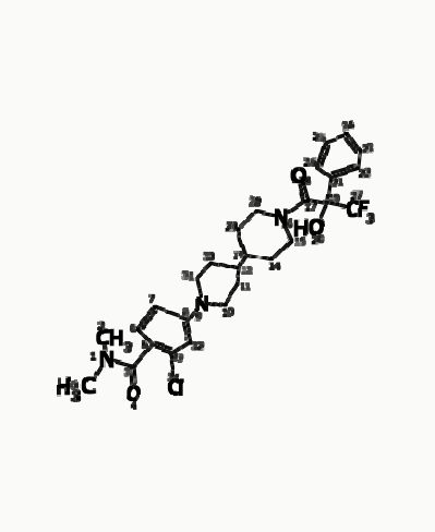 CN(C)C(=O)c1ccc(N2CCC(C3CCN(C(=O)C(O)(c4ccccc4)C(F)(F)F)CC3)CC2)cc1Cl